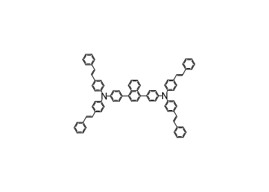 C(=Cc1ccc(N(c2ccc(C=Cc3ccccc3)cc2)c2ccc(-c3ccc(-c4ccc(N(c5ccc(C=Cc6ccccc6)cc5)c5ccc(C=Cc6ccccc6)cc5)cc4)c4ccccc34)cc2)cc1)c1ccccc1